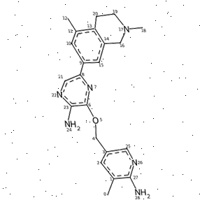 Cc1cc(COc2nc(-c3cc(C)c4c(c3)CN(C)CC4)cnc2N)cnc1N